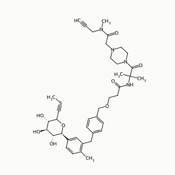 C#CCN(C)C(=O)CN1CCN(C(=O)C(C)(C)NC(=O)CCOCc2ccc(Cc3cc([C@@H]4OC(C#SC)[C@@H](O)[C@H](O)[C@H]4O)ccc3C)cc2)CC1